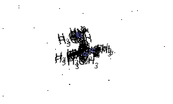 C=C(NCCCN(CCCN/C(=N\C(=O)OC(C)(C)C)NCC1CC1)C(=O)N(CCCN/C(C)=N\C(=O)OC(C)(C)C)CCCN/C(=N/C(=O)OC(C)(C)C)NCC1CC1)NC(=O)OC(C)(C)C